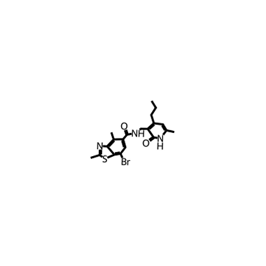 CCCc1cc(C)[nH]c(=O)c1CNC(=O)c1cc(Br)c2sc(C)nc2c1C